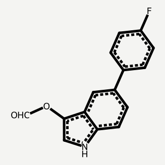 O=COc1c[nH]c2ccc(-c3ccc(F)cc3)cc12